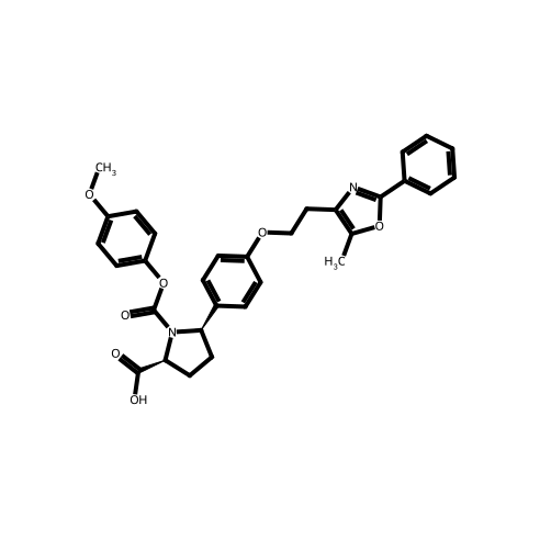 COc1ccc(OC(=O)N2[C@@H](c3ccc(OCCc4nc(-c5ccccc5)oc4C)cc3)CC[C@H]2C(=O)O)cc1